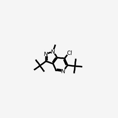 Cn1nc(C(C)(C)C)c2cnc(C(C)(C)C)c(Cl)c21